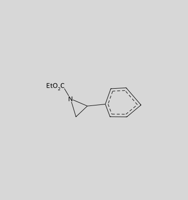 CCOC(=O)N1CC1c1ccccc1